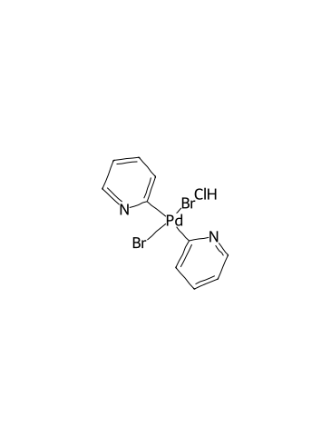 Cl.[Br][Pd]([Br])([c]1ccccn1)[c]1ccccn1